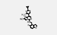 Cc1nc(C2CC2)ncc1-c1cnc(NCc2c(F)ccc3c2CCO3)n2cc(C#N)nc12